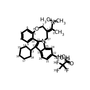 CC(=C1COc2ccccc2-c2c(C3CCCCC3)c3ccc(C(=O)O)cc3n2C1)N(C)C.O=C(O)C(F)(F)F